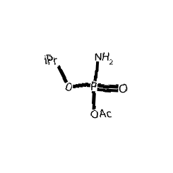 CC(=O)OP(N)(=O)OC(C)C